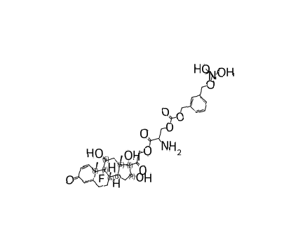 C[C@]12C=CC(=O)C=C1CC[C@H]1[C@@H]3C[C@@H](O)[C@](O)(C(=O)COC(=O)C(N)COC(=O)OCc4cccc(CON(O)O)c4)[C@@]3(C)C[C@H](O)[C@@]12F